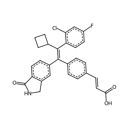 O=C(O)C=Cc1ccc(C(=C(c2ccc(F)cc2Cl)C2CCC2)c2ccc3c(c2)CNC3=O)cc1